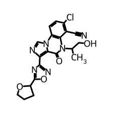 CC(CO)n1c(=O)c2c(-c3noc(C4CCCO4)n3)ncn2c2ccc(Cl)c(C#N)c21